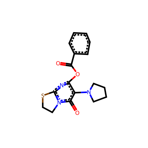 O=C(Oc1nc2n(c(=O)c1N1CCCC1)CCS2)c1ccccc1